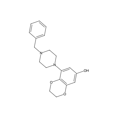 Oc1cc2c(c(N3CCN(Cc4ccccc4)CC3)c1)OCCO2